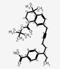 CCC(CCC#CCc1ccc2c(c1)N(C(=O)OC(C)(C)C)CCC2(C)C)c1ccc(C(=O)O)cc1